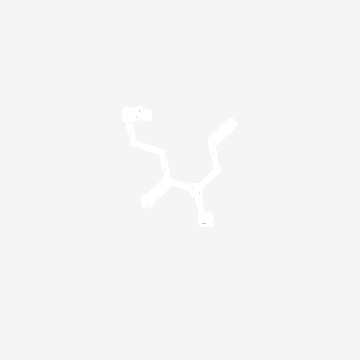 C=CCN(CC)C(=O)CCSC